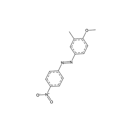 COc1ccc(N=Nc2ccc([N+](=O)[O-])cc2)cc1C